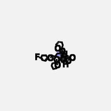 O=C1C[C@H]2[C@H](/C(=C\CCOc3ccc(F)cc3)OC3CCCCO3)[C@H](OC3CCCCO3)C[C@H]2O1